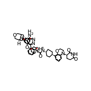 CN(C(=O)N1CCC(Oc2cccc(N3C4COC[C@@H]3CN(c3cc(-c5ccccc5O)nnc3N)C4)c2)CC1)[C@H]1CC[C@H](c2cccc3c2OCCN3[C@@H]2CCC(=O)NC2=O)CC1